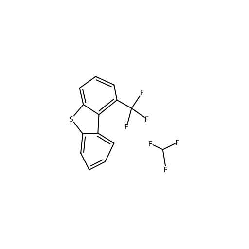 FC(F)(F)c1cccc2sc3ccccc3c12.FC(F)F